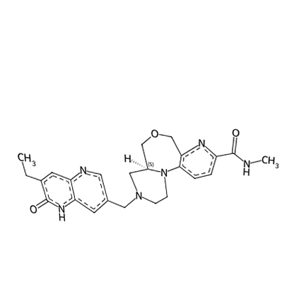 CCc1cc2ncc(CN3CCN4c5ccc(C(=O)NC)nc5COC[C@@H]4C3)cc2[nH]c1=O